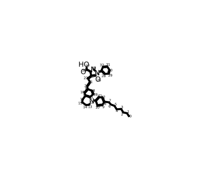 CCCCCCCCc1ccc(N2CCCCc3cc(/C=C/C=C4\C(=O)N(c5ccccc5)N=C4C(=O)O)ccc32)cc1